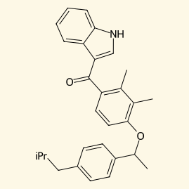 Cc1c(OC(C)c2ccc(CC(C)C)cc2)ccc(C(=O)c2c[nH]c3ccccc23)c1C